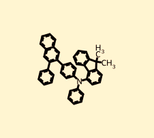 CC1(C)c2ccccc2-c2c(N(c3ccccc3)c3ccc(-c4cc5ccccc5cc4-c4ccccc4)cc3)cccc21